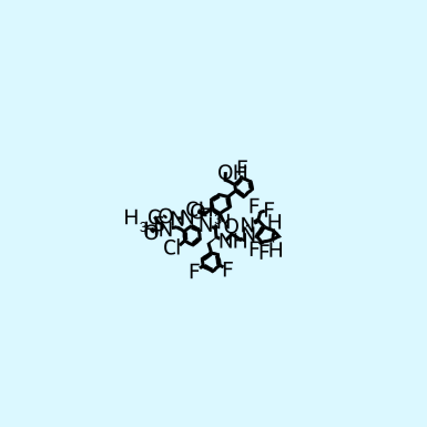 Cn1nc(NS(C)(=O)=O)c2c(Cl)ccc(-n3c([C@H](Cc4cc(F)cc(F)c4)NC(=O)Cn4nc(C(F)F)c5c4C(F)(F)[C@@H]4C[C@H]54)nc4cc(-c5cccc(F)c5CO)ccc4c3=O)c21